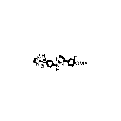 COc1ccc(-c2ccnc(Nc3ccc(S(=O)(=O)c4nccn4C)cc3)n2)cc1F